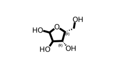 OC[C@H]1OC(O)C(O)[C@H]1O